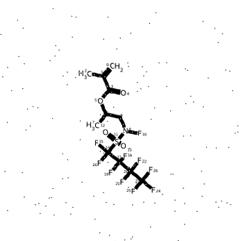 C=C(C)C(=O)OC(C)CN(F)S(=O)(=O)C(F)(F)C(F)(F)C(F)(F)C(F)(F)F